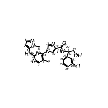 Cc1cnc(Nc2ccnn2C)nc1-n1cnc(C(=O)N[C@@](C)(CO)c2cccc(Cl)c2)c1